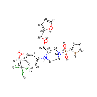 CC(O)(c1ccc(N2CCN(S(=O)(=O)c3cccs3)C[C@@H]2COCc2ccco2)cc1)C(F)(F)F